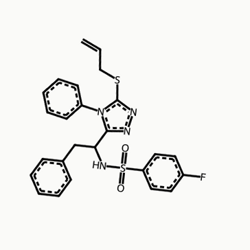 C=CCSc1nnc(C(Cc2ccccc2)NS(=O)(=O)c2ccc(F)cc2)n1-c1ccccc1